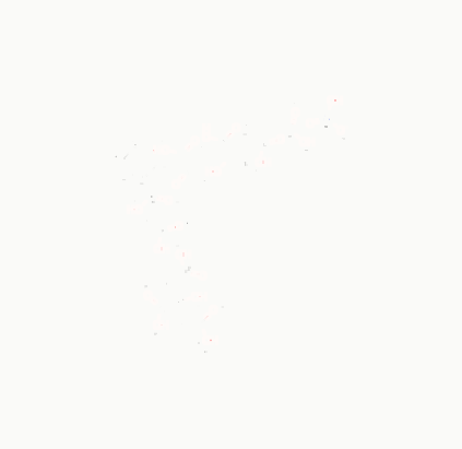 CC(=O)C(=O)O.CC(=O)O.CC(O)C(=O)O.Cl.O=C(O)CC(O)(CC(=O)O)C(=O)O.O=C(O)CCl.O=C(O)c1ccccc1.O=CO.O=[N+]([O-])O